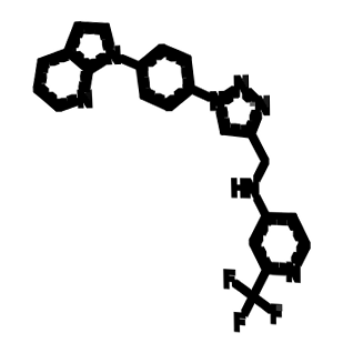 FC(F)(F)c1cc(NCc2cn(-c3ccc(-n4ccc5cccnc54)cc3)nn2)ccn1